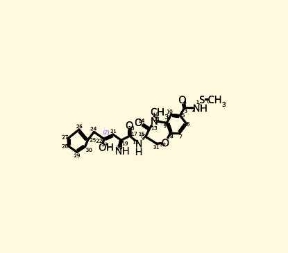 CSNC(=O)c1ccc2c(c1)N(C)C(=O)[C@@H](NC(=O)C(=N)/C=C(\O)Cc1ccccc1)CO2